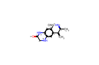 C=C(C(C)=N)c1cc2c(cc1OC)NC(=O)CN2